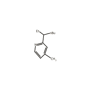 CCCCC(CC)c1cc(C)ccn1